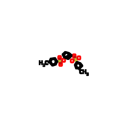 Cc1ccc(S(=O)(=O)OC2CC3(OS(=O)(=O)c4ccc(C)cc4)C=CC2C3)cc1